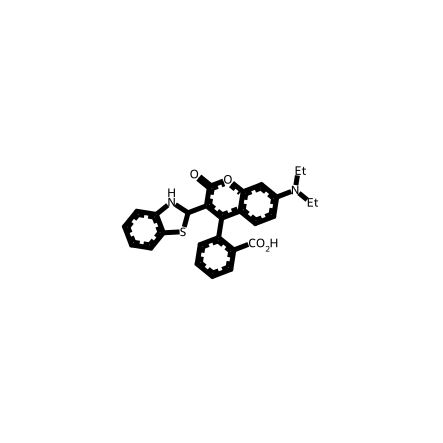 CCN(CC)c1ccc2c(-c3ccccc3C(=O)O)c(C3Nc4ccccc4S3)c(=O)oc2c1